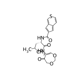 CC(C)C[C@H](NC(=O)c1cc2ccscc-2c1)C(=O)NC1=COCOCC1=O